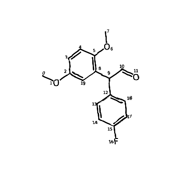 COc1ccc(OC)c(C(C=O)c2ccc(F)cc2)c1